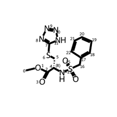 COC(=O)[C@H](CSc1nnn[nH]1)NS(=O)(=O)Cc1ccccc1